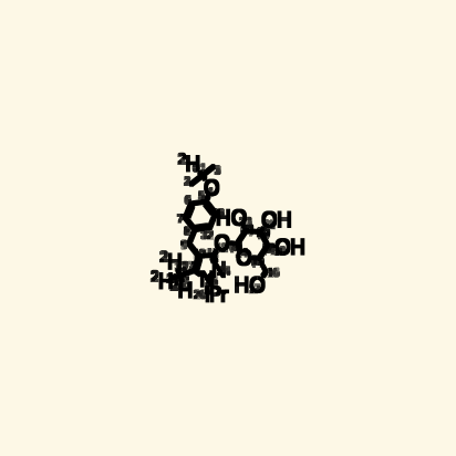 [2H]C(C)(C)Oc1ccc(Cc2c(O[C@@H]3O[C@H](CO)[C@@H](O)[C@H](O)[C@H]3O)nn(C(C)C)c2C([2H])([2H])[2H])cc1